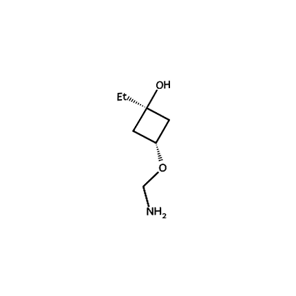 CC[C@]1(O)C[C@H](OCN)C1